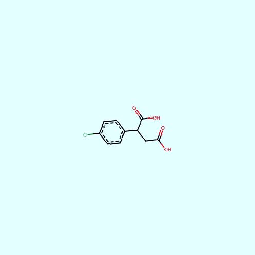 O=C(O)CC(C(=O)O)c1ccc(Cl)cc1